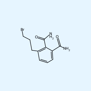 NC(=O)c1cccc(CCCBr)c1C(N)=O